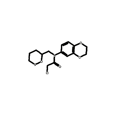 O=C(CCl)N(CC1CCCSO1)c1ccc2c(c1)OCCO2